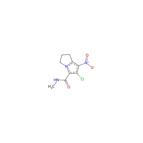 CNC(=O)c1c(Cl)c([N+](=O)[O-])c2n1CCC2